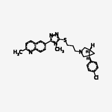 Cc1ccc2cc(-c3nnc(SCCCN4C[C@@H]5C[C@]5(c5ccc(Cl)cc5)C4)n3C)ccc2n1